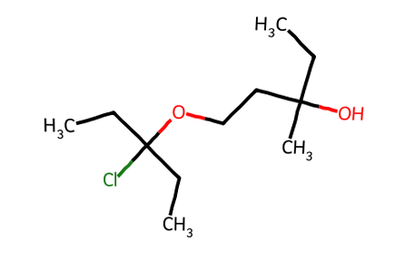 CCC(C)(O)CCOC(Cl)(CC)CC